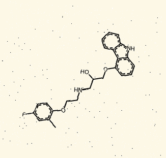 Cc1cc(F)ccc1OCCNCC(O)COc1cccc2[nH]c3ccccc3c12